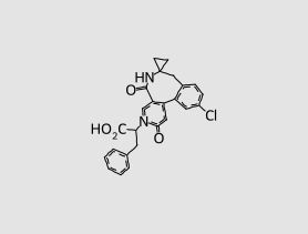 O=C1NC2(CC2)Cc2ccc(Cl)cc2-c2cc(=O)n(C(Cc3ccccc3)C(=O)O)cc21